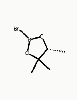 C[C@H]1OB(Br)OC1(C)C